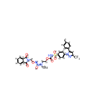 Cc1ccc(-c2cc(C(F)(F)F)nn2-c2ccc(S(=O)(=O)NC(=O)OCCN([N+]([O-])=NOCN3C(=O)c4ccccc4C3=O)C(C)(C)C)cc2)cc1